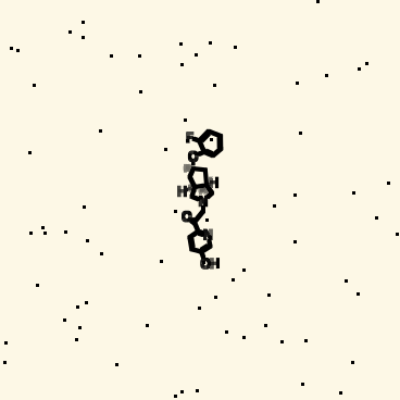 O=C(CN1C[C@H]2C[C@H](Oc3ccccc3F)C[C@H]2C1)c1ccc(O)cn1